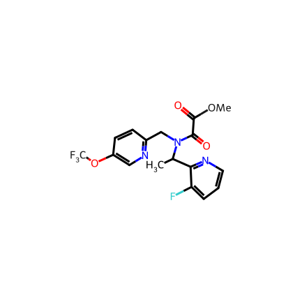 COC(=O)C(=O)N(Cc1ccc(OC(F)(F)F)cn1)C(C)c1ncccc1F